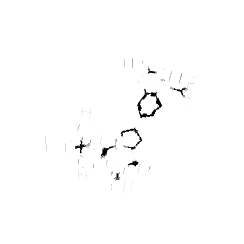 COC(=O)[C@H]1C[C@@H](c2ccc(OC(F)F)c(OC(C)C)c2)CN1C(=O)OC(C)(C)C